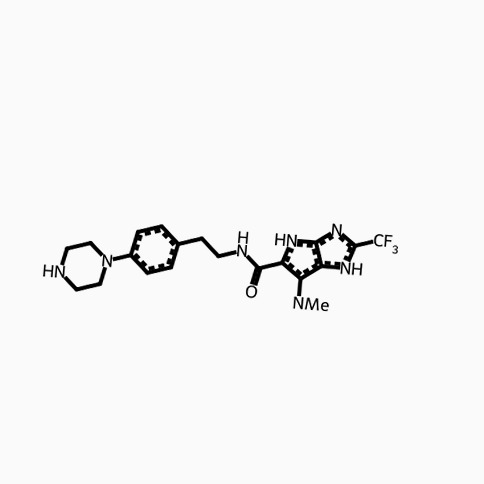 CNc1c(C(=O)NCCc2ccc(N3CCNCC3)cc2)[nH]c2nc(C(F)(F)F)[nH]c12